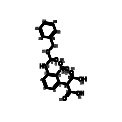 O=C(Nc1cccc(C(C(=O)O)C(=O)O)c1[N+](=O)[O-])OCc1ccccc1